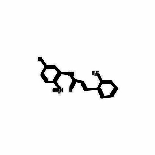 O=C(C=Cc1ccccc1C(F)(F)F)Nc1cc(Cl)ccc1C(=O)O